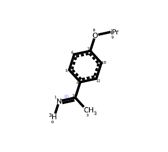 [3H]/N=C(\C)c1ccc(OC(C)C)cc1